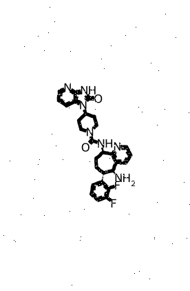 N[C@@H]1c2cccnc2[C@H](NC(=O)N2CCC(n3c(=O)[nH]c4ncccc43)CC2)CC[C@H]1c1cccc(F)c1F